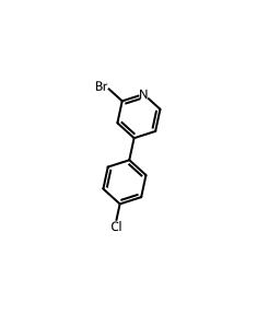 Clc1ccc(-c2ccnc(Br)c2)cc1